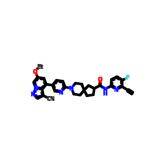 C#Cc1nc(NC(=O)C2CCC3(CCN(c4ccc(-c5cc(OCC)cn6ncc(C#N)c56)cn4)CC3)C2)ccc1F